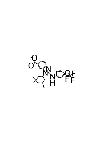 COC(=O)c1ccc2nc(Nc3ccc(OC(F)(F)F)cc3)n([C@H]3C[C@@H](C)CC(C)(C)C3)c2c1